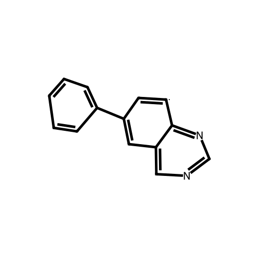 [c]1cc(-c2ccccc2)cc2cncnc12